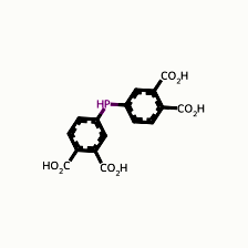 O=C(O)c1ccc(Pc2ccc(C(=O)O)c(C(=O)O)c2)cc1C(=O)O